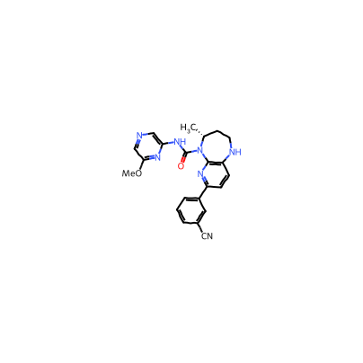 COc1cncc(NC(=O)N2c3nc(-c4cccc(C#N)c4)ccc3NCC[C@H]2C)n1